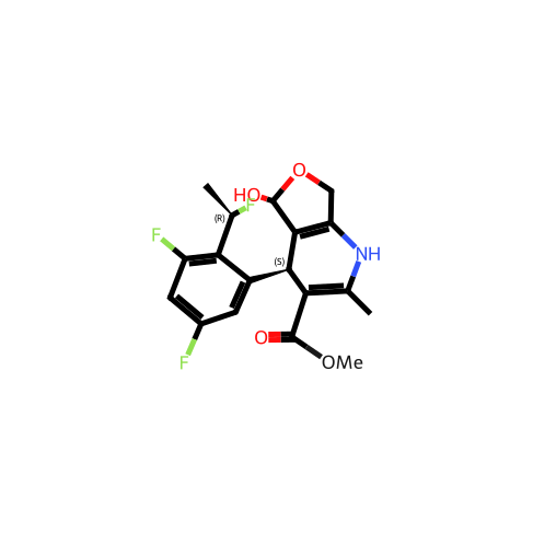 COC(=O)C1=C(C)NC2=C(C(O)OC2)[C@@H]1c1cc(F)cc(F)c1[C@@H](C)F